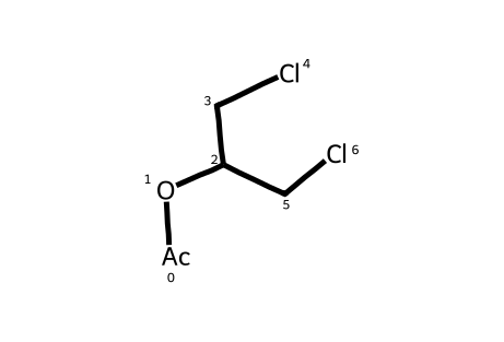 CC(=O)OC(CCl)CCl